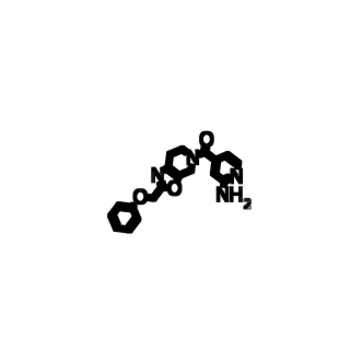 Nc1cc(C(=O)N2CCc3nc(COc4ccccc4)oc3C2)ccn1